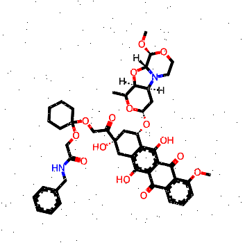 COc1cccc2c1C(=O)c1c(O)c3c(c(O)c1C2=O)C[C@@](O)(C(=O)COC1(OCC(=O)NCc2ccccc2)CCCCC1)C[C@@H]3O[C@H]1C[C@H]2[C@H](O[C@@H]3[C@@H](OC)OCCN32)C(C)O1